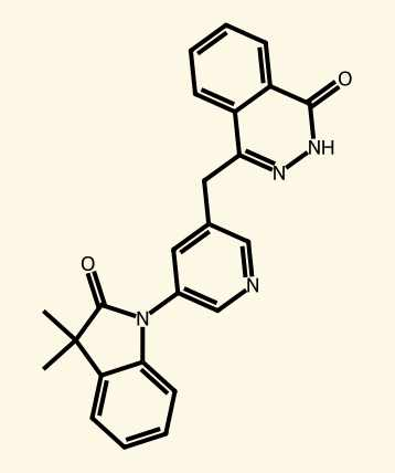 CC1(C)C(=O)N(c2cncc(Cc3n[nH]c(=O)c4ccccc34)c2)c2ccccc21